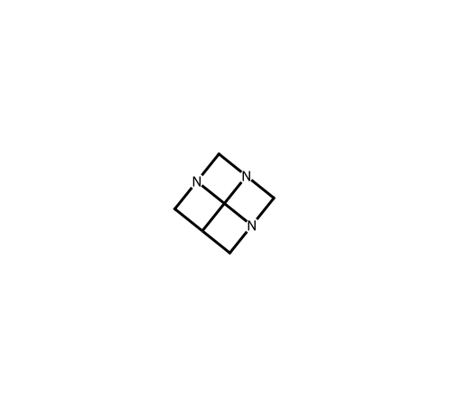 C1C2CN3CN4CN1C234